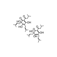 CC(C)=CCC1=C(O)[C@](O)(CC=C(C)C)C(=O)C(C(=O)CC(C)C)=C1O.CC(C)=CCC1=C(O)[C@](O)(CC=C(C)C)C(=O)C(C(=O)CC(C)C)=C1O